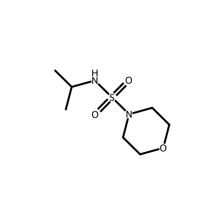 CC(C)NS(=O)(=O)N1CCOCC1